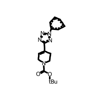 CC(C)(C)OC(=O)N1CC=C(c2nnn(-c3ccccc3)n2)CC1